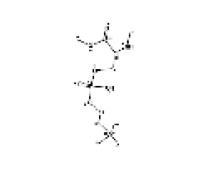 CN[C@H](COP(=O)(O)OCC[N+](C)(C)C)C(=O)OC